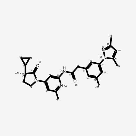 Cc1cc(N2CC[C@@](C)(C3CC3)C2=O)cc(NC(=O)Cc2cc(F)cc(-n3nc(C)cc3C)c2)n1